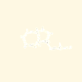 C=C=Cn1ccc2ccccc21